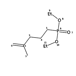 C=C(C)CCCP(=O)(OCC)OCC